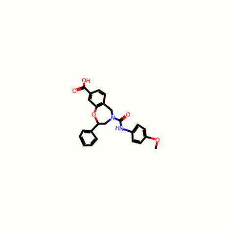 COc1ccc(NC(=O)N2Cc3ccc(C(=O)O)cc3OC(c3ccccc3)C2)cc1